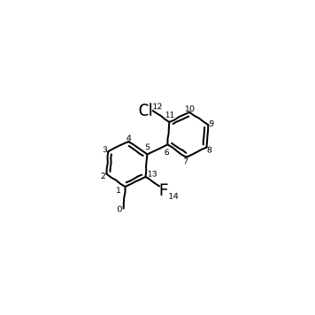 Cc1cccc(-c2ccccc2Cl)c1F